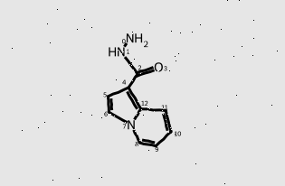 NNC(=O)c1ccn2ccccc12